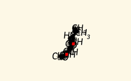 Cc1nn(C)cc1CNc1ccc2c(=O)n(-c3ccc(NC(=O)NS(=O)(=O)c4ccc(Cl)s4)cc3)c(=O)[nH]c2c1